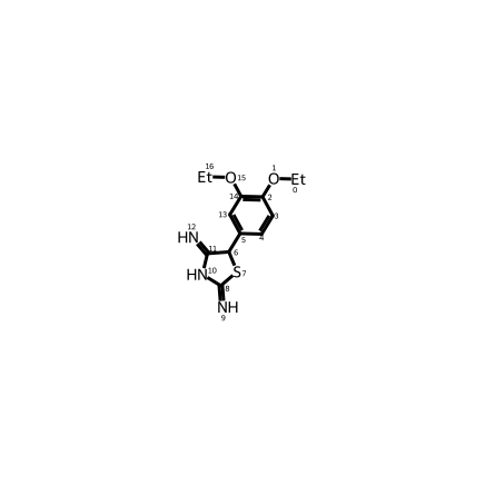 CCOc1ccc(C2SC(=N)NC2=N)cc1OCC